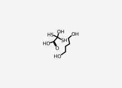 O=C(O)C(O)(S)S.OCCCCO